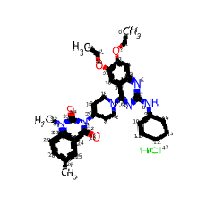 CCOc1cc2nc(NC3CCCCC3)nc(N3CCC(n4c(=O)c5cc(C)ccc5n(C)c4=O)CC3)c2cc1OCC.Cl